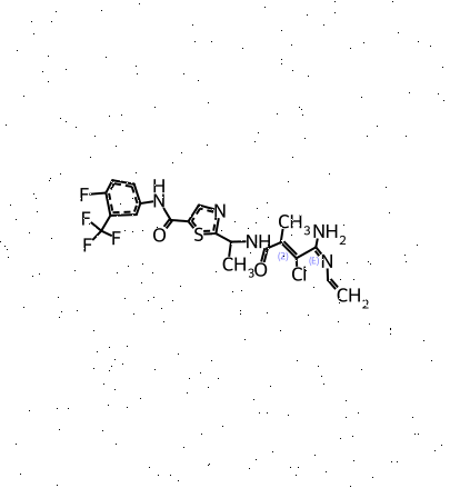 C=C/N=C(N)\C(Cl)=C(/C)C(=O)NC(C)c1ncc(C(=O)Nc2ccc(F)c(C(F)(F)F)c2)s1